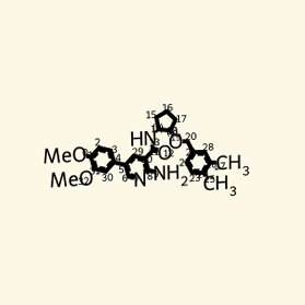 COc1ccc(-c2cnc(N)c(C(=O)N[C@H]3CCC[C@@H]3OCc3ccc(C)c(C)c3)c2)cc1OC